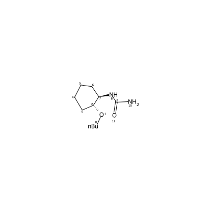 CCCCO[C@@H]1CCCC[C@H]1NC(N)=O